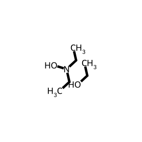 CCN(O)CC.CCO